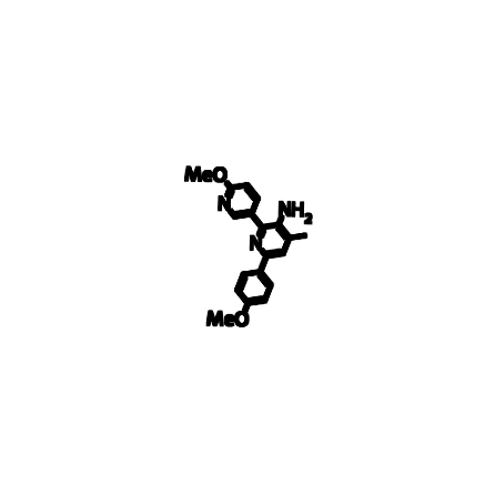 COc1ccc(-c2cc(C)c(N)c(-c3ccc(OC)nc3)n2)cc1